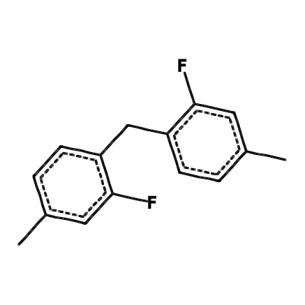 Cc1ccc(Cc2ccc(C)cc2F)c(F)c1